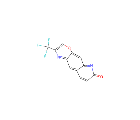 O=c1ccc2cc3nc(C(F)(F)F)coc3cc2n1